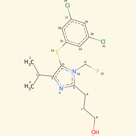 CC(C)c1nc(CCCO)n(CF)c1Sc1cc(Cl)cc(Cl)c1